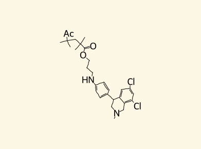 CC(=O)C(C)(C)CC(C)(C)C(=O)OCCCNc1ccc(C2CN(C)Cc3c(Cl)cc(Cl)cc32)cc1